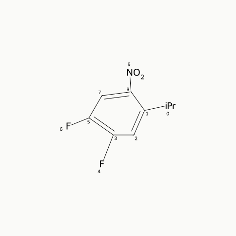 CC(C)c1cc(F)c(F)cc1[N+](=O)[O-]